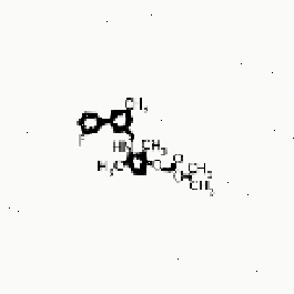 Cc1cc(CNc2c(C)ccc(OCC(=O)OC(C)C)c2C)cc(-c2cccc(F)c2)c1